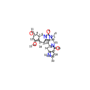 CCN1C(=O)N2Cc3cc(OC)cc(OC)c3[C@@H](C)C=C2C12CCN(C(=O)c1cc(C)n(C)c1C)CC2